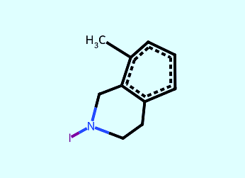 Cc1cccc2c1CN(I)CC2